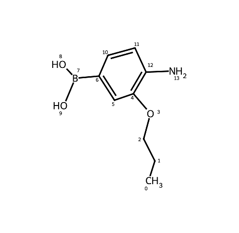 CCCOc1cc(B(O)O)ccc1N